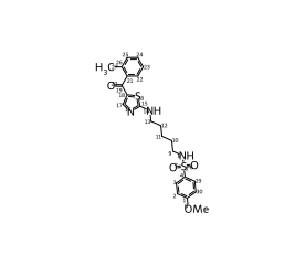 COc1ccc(S(=O)(=O)NCCCCCNc2ncc(C(=O)c3ccccc3C)s2)cc1